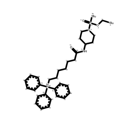 CC(C)(C)COP(=O)(N1CCC(NC(=O)CCCCCC[PH](c2ccccc2)(c2ccccc2)c2ccccc2)CC1)C(C)(C)C